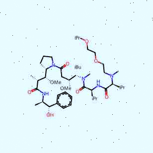 CC[C@H](C)[C@@H]([C@@H](CC(=O)N1CCC[C@H]1[C@H](OC)[C@@H](C)C(=O)N[C@H](C)[C@@H](O)c1ccccc1)OC)N(C)C(=O)[C@@H](NC(=O)[C@H](C(C)C)N(C)CCOCCOC(C)C)C(C)C